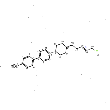 CCCCc1ccc(-c2ccc([C@H]3CC[C@H](CC/C=C/CF)CC3)cc2)cc1